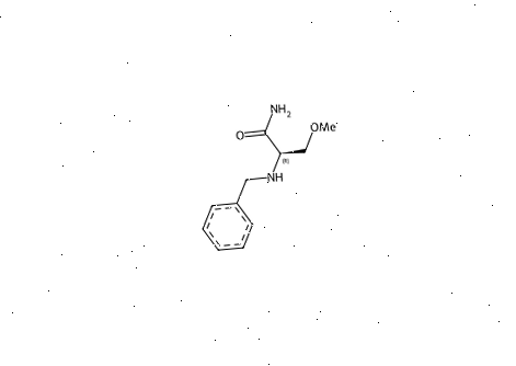 COC[C@@H](NCc1ccccc1)C(N)=O